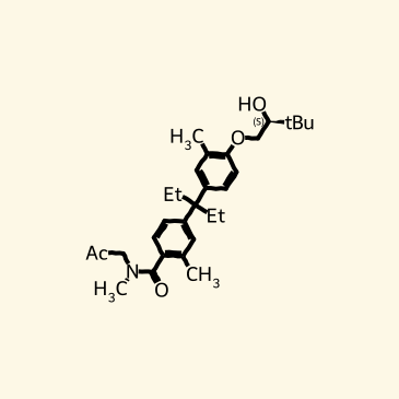 CCC(CC)(c1ccc(OC[C@@H](O)C(C)(C)C)c(C)c1)c1ccc(C(=O)N(C)CC(C)=O)c(C)c1